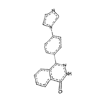 O=c1[nH]nc(-c2ccc(-n3ccnc3)cc2)c2ccccc12